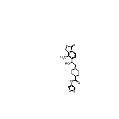 Cc1c(C(O)CN2CCC(C(=O)Nc3cnoc3)CC2)ccc2c1COC2=O